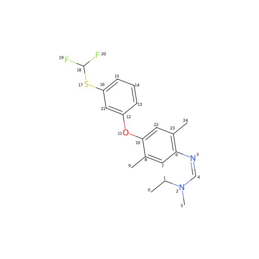 CCN(C)/C=N\c1cc(C)c(Oc2cccc(SC(F)F)c2)cc1C